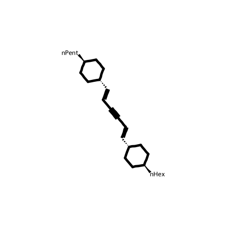 CCCCCC[C@H]1CC[C@H](C=CC#CC=C[C@H]2CC[C@H](CCCCC)CC2)CC1